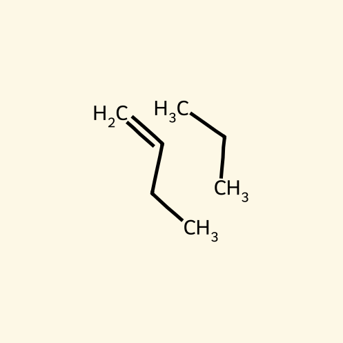 C=CCC.CCC